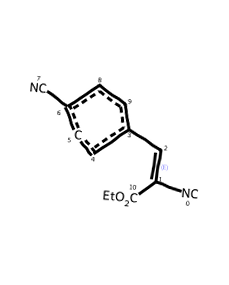 [C-]#[N+]/C(=C/c1ccc(C#N)cc1)C(=O)OCC